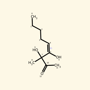 CCCC/C=C(/O)C(C)(O)C(C)=O